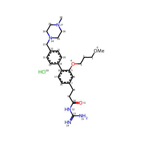 COCCCOc1cc(CCC(=O)NC(=N)N)ccc1-c1ccc(CN2CCN(C)CC2)cc1.Cl